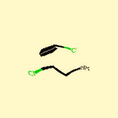 C=CCl.CCCCCCl